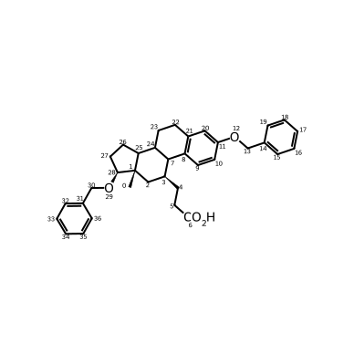 C[C@]12C[C@H](CCC(=O)O)C3c4ccc(OCc5ccccc5)cc4CCC3C1CC[C@@H]2OCc1ccccc1